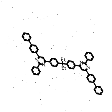 CCC(CC)(c1ccc(-c2cc(-c3ccc(-c4ccccc4)cc3)nc(-c3ccccc3)n2)cc1)c1ccc(-c2cc(-c3ccc(-c4ccccc4)cc3)nc(-c3ccccc3)n2)cc1